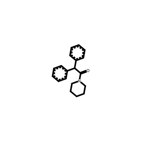 O=C(C(c1ccccc1)c1ccccc1)N1CCCCC1